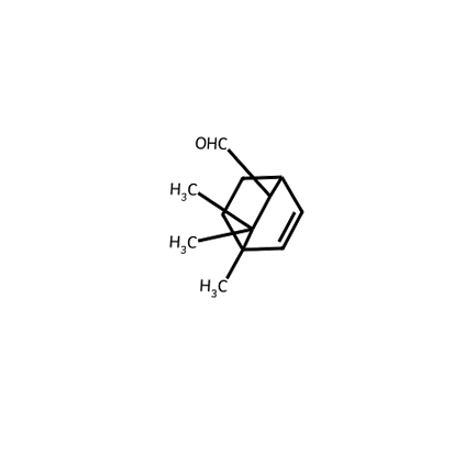 CC12C=CC(CC1)C(C=O)C2(C)C